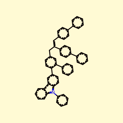 C(=C(\Cc1ccc(-c2ccc3c(c2)c2ccccc2n3-c2ccccc2)c(-c2ccccc2)c1)c1ccc(-c2ccccc2)cc1)/c1ccc(-c2ccccc2)cc1